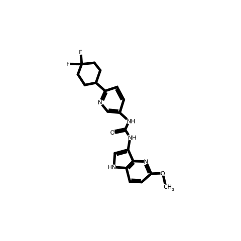 COc1ccc2[nH]cc(NC(=O)Nc3ccc(C4CCC(F)(F)CC4)nc3)c2n1